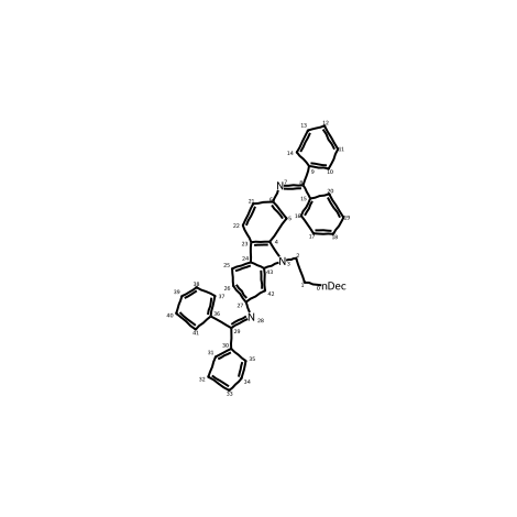 CCCCCCCCCCCCn1c2cc(N=C(c3ccccc3)c3ccccc3)ccc2c2ccc(N=C(c3ccccc3)c3ccccc3)cc21